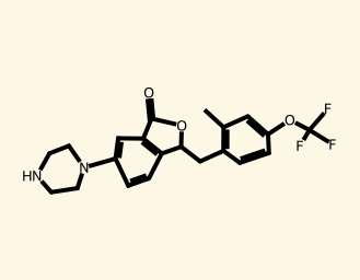 Cc1cc(OC(F)(F)F)ccc1CC1OC(=O)c2cc(N3CCNCC3)ccc21